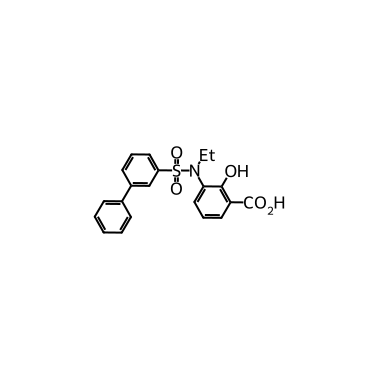 CCN(c1cccc(C(=O)O)c1O)S(=O)(=O)c1cccc(-c2ccccc2)c1